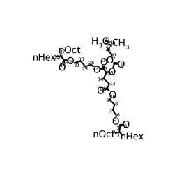 CCCCCCCCC(CCCCCC)C(=O)OCCCCOC(=O)CCC(OC(=O)OCCN(C)C)C(=O)OCCCCOC(=O)C(CCCCCC)CCCCCCCC